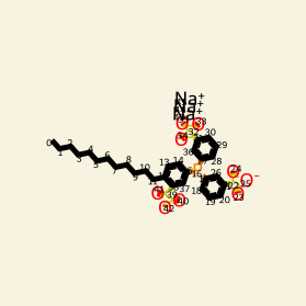 CCCCCCCCCCCCc1ccc(P(c2cccc(S(=O)(=O)[O-])c2)c2cccc(S(=O)(=O)[O-])c2)cc1S(=O)(=O)[O-].[Na+].[Na+].[Na+]